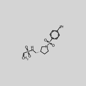 C=CS(=O)(=O)NC[C@H]1CCN(S(=O)(=O)c2ccc(C(C)C)cc2)C1